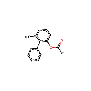 Cc1cccc(OC(=O)C(C)C)c1-c1ccccc1